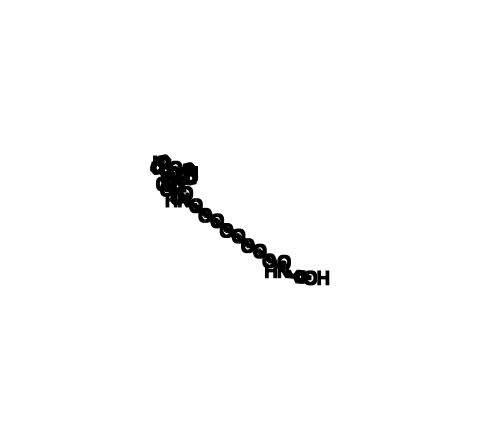 O=C(CCOCCOCCOCCOCCOCCOCCOCCOCCNS(=O)(=O)c1ccc2c(c1)S(=O)(=O)OC21c2cc3c4c(c2Oc2c1cc1c5c2CCCN5CCC1)CCCN4CCC3)NCCc1ccc(O)cc1